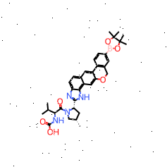 CC(C)[C@H](NC(=O)O)C(=O)N1C[C@@H](C)C[C@H]1c1nc2ccc3cc4c(cc3c2[nH]1)OCc1cc(B2OC(C)(C)C(C)(C)O2)ccc1-4